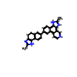 Cc1nc2c([nH]1)-c1ccc(-c3ccc4c(c3)c3ccncc3c3nc(C)[nH]c43)cc1CC2